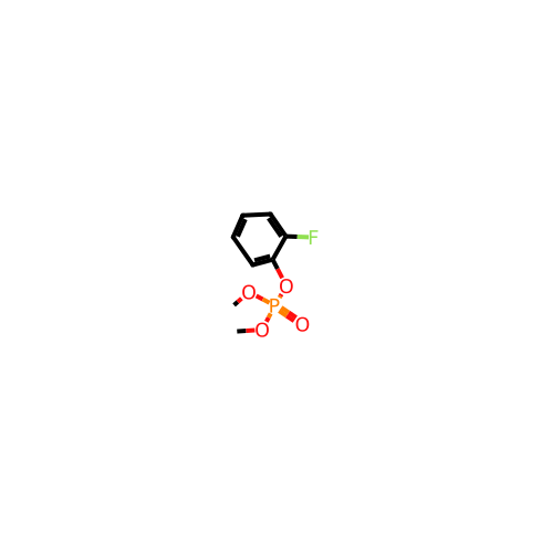 COP(=O)(OC)Oc1ccccc1F